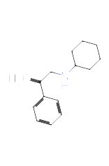 C=C(CNC1CCCCC1)c1ccccc1